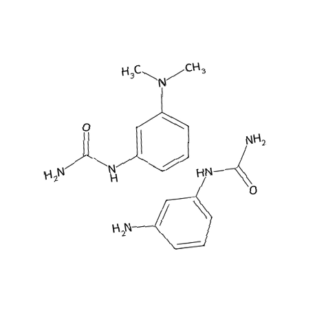 CN(C)c1cccc(NC(N)=O)c1.NC(=O)Nc1cccc(N)c1